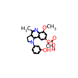 COc1cc(OC)c2nc(C)c3c(c2c1)N(c1cccc(O)c1)CC3.O=CO